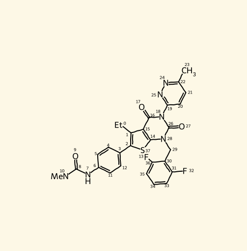 CCc1c(-c2ccc(NC(=O)NC)cc2)sc2c1c(=O)n(-c1ccc(C)nn1)c(=O)n2Cc1c(F)cccc1F